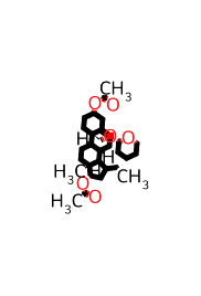 CCC1CC(OC(C)=O)[C@@]2(C)CC[C@@H]3[C@@H](CC=C4CC(OC(C)=O)CC[C@@]43COC3CCCCO3)[C@H]12